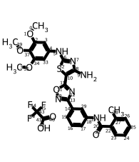 COc1cc(Nc2nc(N)c(-c3nc(-c4cccc(NC(=O)c5ccccc5C)c4)no3)s2)cc(OC)c1OC.O=C(O)C(F)(F)F